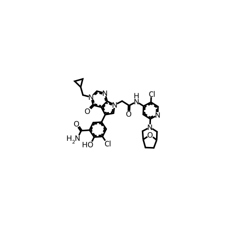 NC(=O)c1cc(-c2cn(CC(=O)Nc3cc(N4CC5CCC(C4)O5)ncc3Cl)c3ncn(CC4CC4)c(=O)c23)cc(Cl)c1O